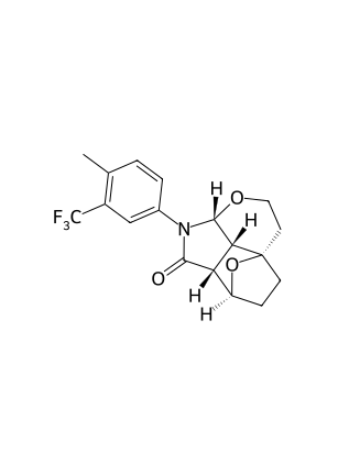 Cc1ccc(N2C(=O)[C@@H]3[C@@H]4[C@H]2OCC[C@@]42CC[C@@H]3O2)cc1C(F)(F)F